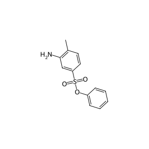 Cc1ccc(S(=O)(=O)Oc2ccccc2)cc1N